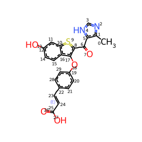 Cc1nc[nH]c1C(=O)c1sc2cc(O)ccc2c1Oc1ccc(/C=C/C(=O)O)cc1